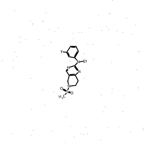 CCN(c1cccc(F)c1)c1ncc2c(n1)CCN(S(C)(=O)=O)C2